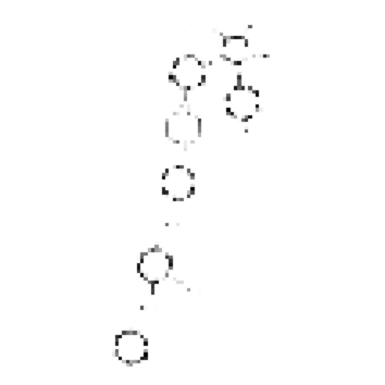 Cc1c(C=O)c(-c2cccc(N3CCN(c4ccc(NSc5ccc(NSc6ccccc6)c([N+](=O)[O-])c5)cc4)CC3)c2)c(-c2ccc(F)cc2)n1C